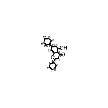 O=c1cc(-c2ccccc2)oc2cc(-c3ccccc3)cc(O)c12